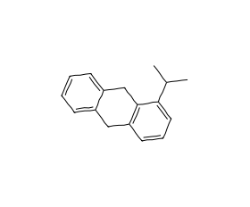 CC(C)c1cccc2c1Cc1ccccc1C2